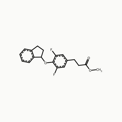 COC(=O)CCc1cc(F)c(OC2CCc3ccccc32)c(F)c1